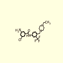 CCN1CCN(Cc2ccc(NC(=O)c3cc(N)cc(Cl)c3)cc2C(F)(F)F)CC1